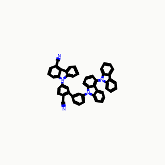 N#Cc1ccc(-n2c3ccccc3c3c(C#N)cccc32)cc1-c1cccc(-n2c3ccccc3c3c(-n4c5ccccc5c5ccccc54)cccc32)c1